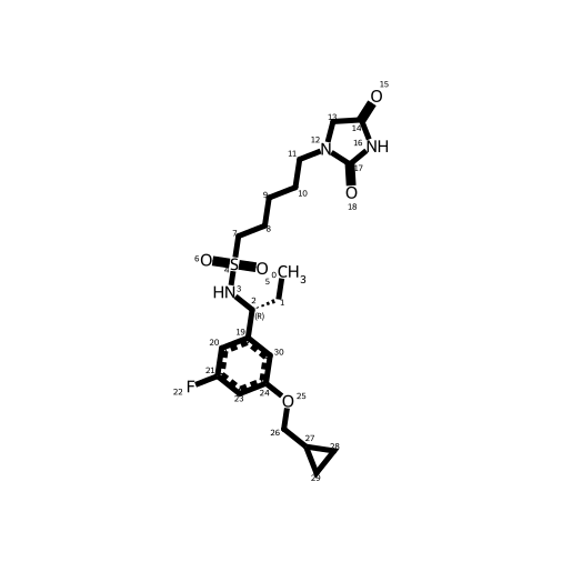 CC[C@@H](NS(=O)(=O)CCCCCN1CC(=O)NC1=O)c1cc(F)cc(OCC2CC2)c1